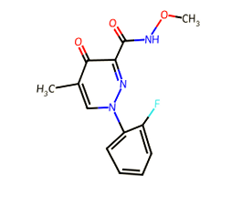 CONC(=O)c1nn(-c2ccccc2F)cc(C)c1=O